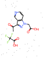 CC(=O)c1nn(CC(=O)O)c2ccncc12.O=C(O)C(F)(F)F